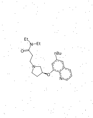 CCCCc1cc(O[C@H]2CCN(CCC(=O)N(CC)CC)C2)c2ncccc2c1